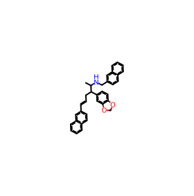 CC(NCc1ccc2ccccc2c1)C(C/C=C/c1ccc2ccccc2c1)c1ccc2c(c1)OCO2